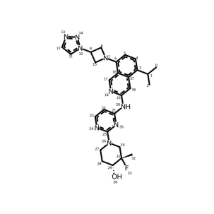 CC(C)c1ccc(N2CC(n3ccnn3)C2)c2cnc(Nc3ccnc(N4CC[C@@H](O)[C@@](C)(F)C4)n3)cc12